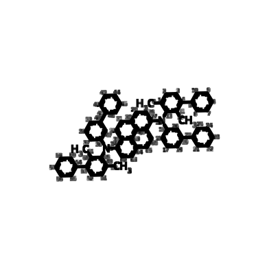 Cc1ccc(-c2ccccc2)c(C)c1N(c1cccc(-c2ccccc2)c1)c1ccc2ccc3c(N(c4cccc(-c5ccccc5)c4)c4c(C)ccc(-c5ccccc5)c4C)ccc4ccc1c2c43